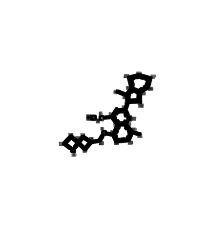 Cc1c(-c2cc(C(=O)O)c3c(OCC4CC5(CCO5)C4)ccc(C)c3n2)sc2ccccc12